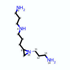 NCCCNCCCC1C[N@@]1CCCN